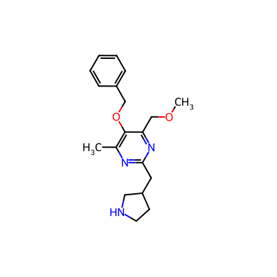 COCc1nc(CC2CCNC2)nc(C)c1OCc1ccccc1